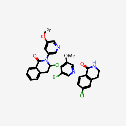 CC(C)Oc1cncc(N2C(=O)c3ccccc3CC2Cl)c1.COc1cncc(Br)c1.O=C1NCCc2cc(Cl)ccc21